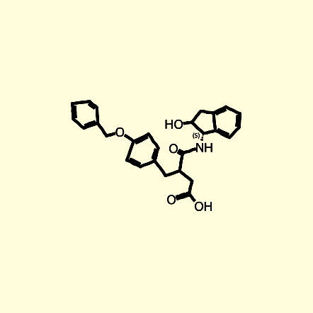 O=C(O)CC(Cc1ccc(OCc2ccccc2)cc1)C(=O)N[C@H]1c2ccccc2CC1O